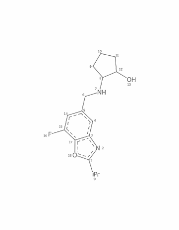 CC(C)c1nc2cc(CNC3CCCC3O)cc(F)c2o1